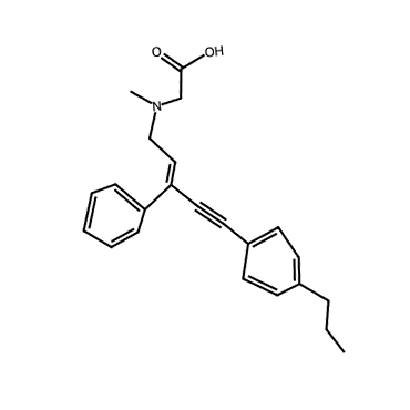 CCCc1ccc(C#CC(=CCN(C)CC(=O)O)c2ccccc2)cc1